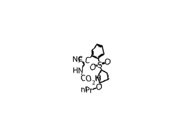 CCCO[C@H]1CC[C@H](S(=O)(=O)c2ccccc2C(F)(F)F)C1.N#CCNC(=O)O